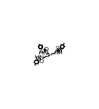 Cc1ccc(OC(=O)NCCCCC(CCCNC(=O)Oc2ccc(C)cc2)CNC(=O)Oc2ccc(C)cc2)cc1